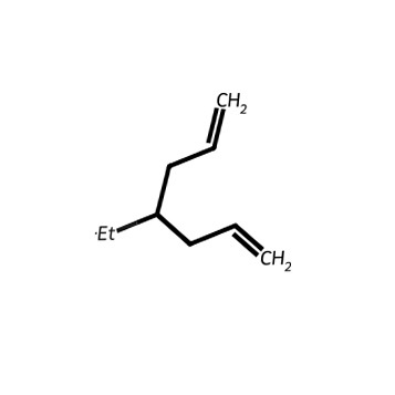 C=CCC([CH]C)CC=C